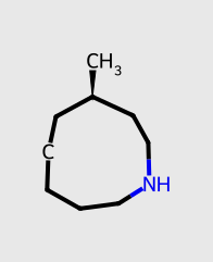 C[C@@H]1CCCCCNCC1